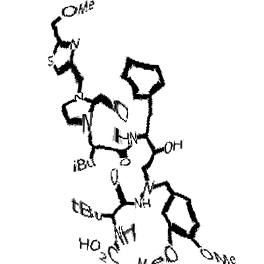 CCC(C)C(C(=O)NC(Cc1ccccc1)C(O)CN(Cc1ccc(OC)c(OC)c1)NC(=O)C(NC(=O)O)C(C)(C)C)N1CCN(Cc2csc(COC)n2)C1=O